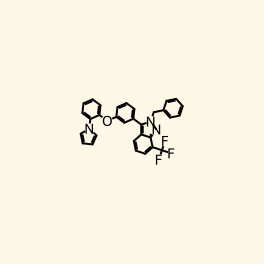 FC(F)(F)c1cccc2c(-c3cccc(Oc4ccccc4-n4cccc4)c3)n(Cc3ccccc3)nc12